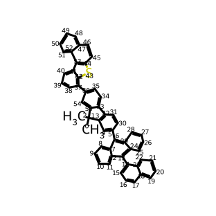 CC1(C)c2cc(-c3c4ccccc4c(-c4cccc5ccccc45)c4ccccc34)ccc2-c2ccc(-c3cccc4c3sc3ccc5ccccc5c34)cc21